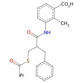 Cc1c(NC(=O)C(CSC(=O)C(C)C)Cc2ccccc2)cccc1C(=O)O